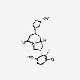 O=C1CC(N2CC[C@H](O)C2)C[C@@H]2C[C@H](c3c(O)ccc(Cl)c3Cl)CN12